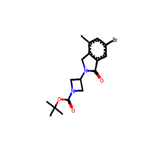 Cc1cc(Br)cc2c1CN(C1CN(C(=O)OC(C)(C)C)C1)C2=O